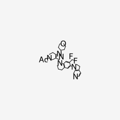 CC(=O)N1CCc2c(c(N3CCCc4cc(N5CCc6ccncc65)c(C(F)F)cc43)nn2C2CCOCC2)C1